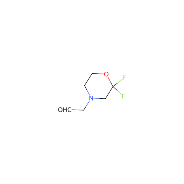 O=CCN1CCOC(F)(F)C1